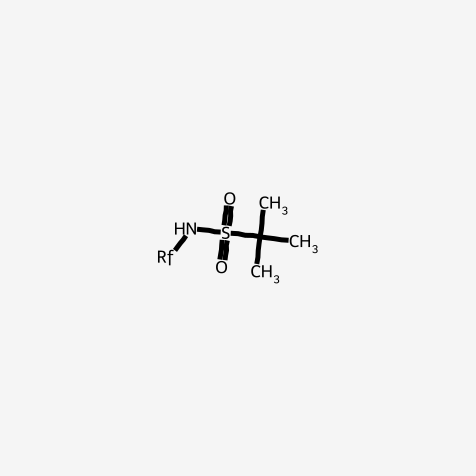 CC(C)(C)S(=O)(=O)[NH][Rf]